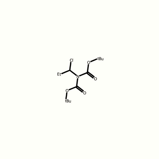 CCC(Cl)N(C(=O)OC(C)(C)C)C(=O)OC(C)(C)C